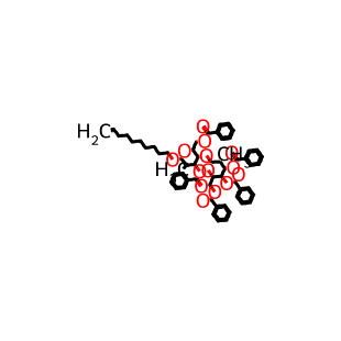 C=CCCCCCCCCOC1OC(COC(=O)c2ccccc2)C(OC2OC(COC(=O)c3ccccc3)C(OC(=O)c3ccccc3)C(OC(=O)c3ccccc3)C2C)C(OC(=O)c2ccccc2)C1C